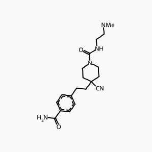 CNCCNC(=O)N1CCC(C#N)(CCc2ccc(C(N)=O)cc2)CC1